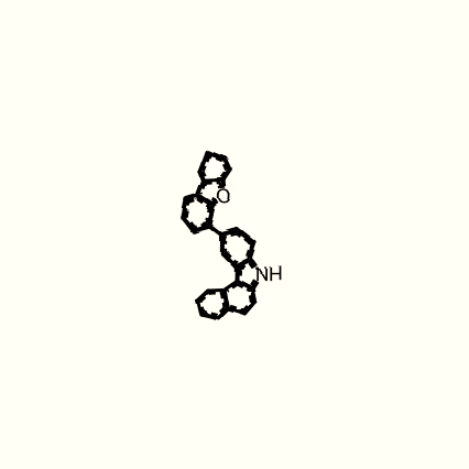 c1ccc2c(c1)ccc1[nH]c3ccc(-c4cccc5c4oc4ccccc45)cc3c12